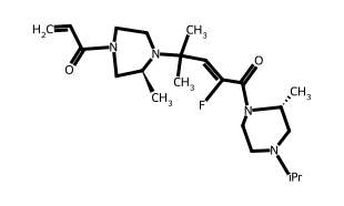 C=CC(=O)N1CCN(C(C)(C)C=C(F)C(=O)N2CCN(C(C)C)C[C@H]2C)[C@@H](C)C1